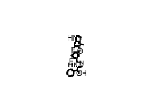 Cc1c(Oc2ccc(F)c(-c3ncc(C(O)c4ccccc4)[nH]3)c2)c(F)cc2[nH]ccc12